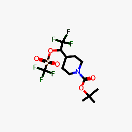 CC(C)(C)OC(=O)N1CCC(C(OS(=O)(=O)C(F)(F)F)C(F)(F)F)CC1